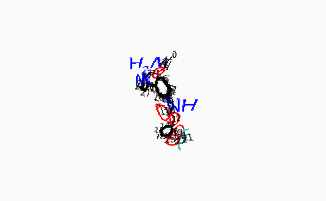 C[C@H](N)COc1ccc(NC(=O)Oc2cccc3c2OC(F)(F)O3)cc1-c1ccnn1C